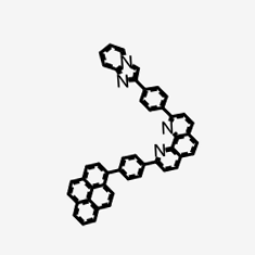 c1cc2ccc3ccc(-c4ccc(-c5ccc6ccc7ccc(-c8ccc(-c9cn%10ccccc%10n9)cc8)nc7c6n5)cc4)c4ccc(c1)c2c34